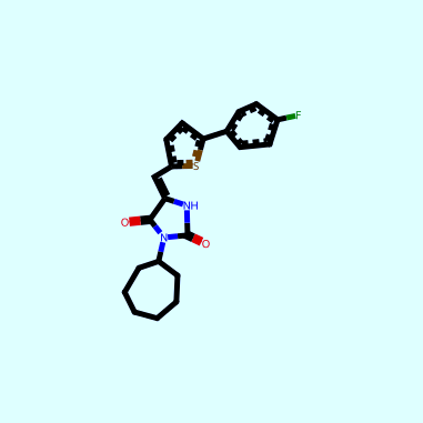 O=C1NC(=Cc2ccc(-c3ccc(F)cc3)s2)C(=O)N1C1CCCCCC1